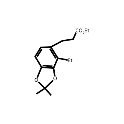 CCOC(=O)CCc1ccc2c(c1CC)OC(C)(C)O2